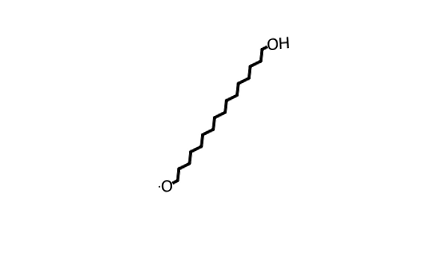 [O]CCCCCCCCCCCCCCCCO